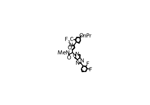 CCCOc1ccc(-c2cc(C(C(=O)NC)n3cc4nc(-c5cccc(F)c5F)nc-4cn3)on2)c(C(F)(F)F)c1